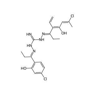 C=CC(=C(O)\C=C(/C)Cl)/C(CC)=N/NC(=N)N/N=C(\CC)c1ccc(Cl)cc1O